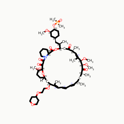 CO[C@@H]1/C(C)=C/[C@@H](C)C(=O)C[C@@H]([C@H](C)C[C@@H]2CC[C@@H](OP(C)(C)=O)[C@H](OC)C2)OC(=O)[C@@H]2CCCCN2C(=O)C(=O)[C@]2(O)O[C@@H](CC[C@H]2C)C[C@H](OCCOC2CCOCC2)/C(C)=C/C=C/C=C/[C@@H](C)C[C@@H](C)C(=O)[C@@H]1OC